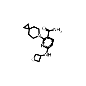 NC(=O)c1ccc(NC2COC2)nc1N1CCC2(CC1)CC2